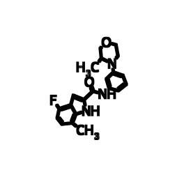 Cc1ccc(F)c2cc(C(=O)Nc3cccc(N4CCOCC4C)c3)[nH]c12